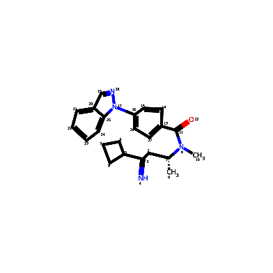 C[C@H](CC(=N)C1CCC1)N(C)C(=O)c1ccc(-n2ncc3ccccc32)cc1